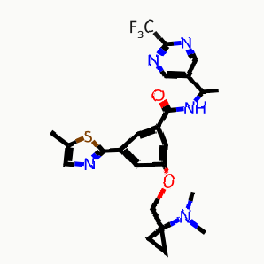 Cc1cnc(-c2cc(OCC3(N(C)C)CC3)cc(C(=O)NC(C)c3cnc(C(F)(F)F)nc3)c2)s1